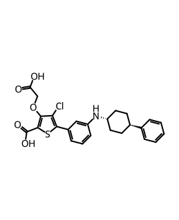 O=C(O)COc1c(C(=O)O)sc(-c2cccc(N[C@H]3CC[C@H](c4ccccc4)CC3)c2)c1Cl